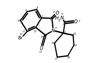 NC(=O)C1(N2C(=O)c3cccc(Br)c3C2=O)CCCCC1